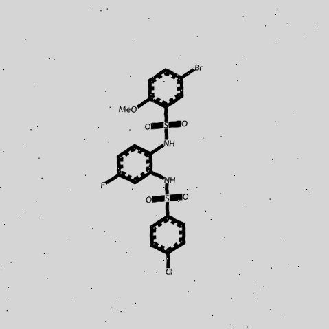 COc1ccc(Br)cc1S(=O)(=O)Nc1ccc(F)cc1NS(=O)(=O)c1ccc(Cl)cc1